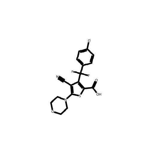 N#Cc1c(N2CCOCC2)sc(C(=O)O)c1C(F)(F)c1ccc(Cl)cc1